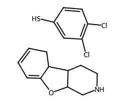 C1=CCC2C(=C1)OC1CNCCC12.Sc1ccc(Cl)c(Cl)c1